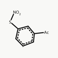 CC(=O)c1c[c]cc(S[N+](=O)[O-])c1